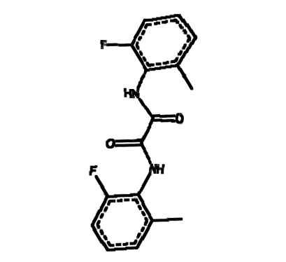 Cc1cccc(F)c1NC(=O)C(=O)Nc1c(C)cccc1F